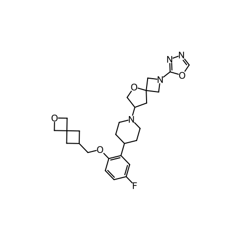 Fc1ccc(OCC2CC3(COC3)C2)c(C2CCN(C3COC4(C3)CN(c3nnco3)C4)CC2)c1